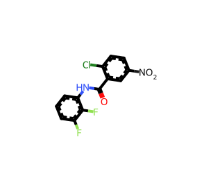 O=C(Nc1cccc(F)c1F)c1cc([N+](=O)[O-])ccc1Cl